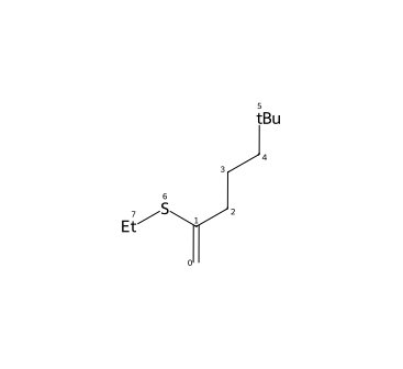 C=C(CCCC(C)(C)C)SCC